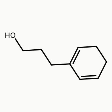 OCCCC1=CCCC=C1